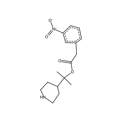 CC(C)(OC(=O)Cc1cccc([N+](=O)[O-])c1)C1CCNCC1